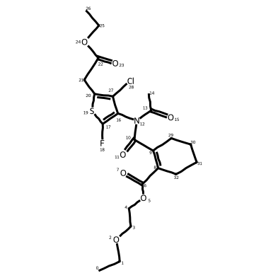 CCOCCOC(=O)C1=C(C(=O)N(C(C)=O)c2c(F)sc(CC(=O)OCC)c2Cl)CCCC1